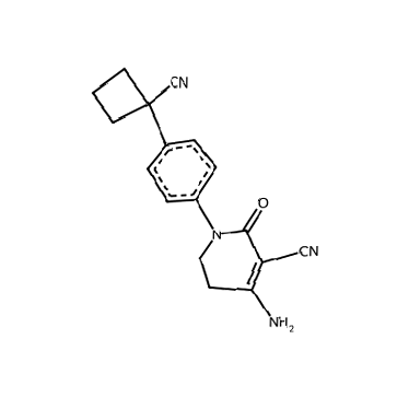 N#CC1=C(N)CCN(c2ccc(C3(C#N)CCC3)cc2)C1=O